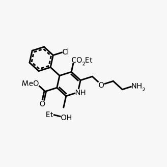 CCO.CCOC(=O)C1=C(COCCN)NC(C)=C(C(=O)OC)C1c1ccccc1Cl